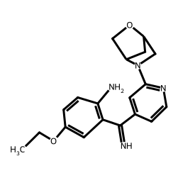 CCOc1ccc(N)c(C(=N)c2ccnc(N3CC4CC3CO4)c2)c1